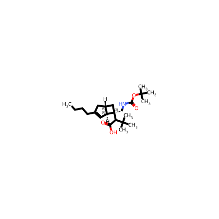 CCCCC1=C[C@H]2[C@H](C1)C[C@@]2(CNC(=O)OC(C)(C)C)C(C(=O)O)C(C)(C)C